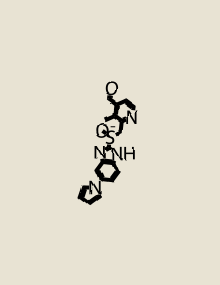 Cc1c(C=O)ccnc1C[S+]([O-])c1nc2cc(-n3cccc3)ccc2[nH]1